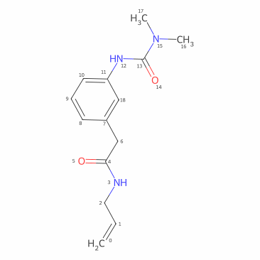 C=CCNC(=O)Cc1cccc(NC(=O)N(C)C)c1